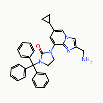 NCc1cn2cc(C3CC3)cc(N3CCN(C(c4ccccc4)(c4ccccc4)c4ccccc4)C3=O)c2n1